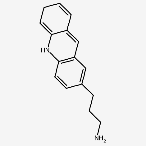 NCCCc1ccc2c(c1)C=C1C=CCC=C1N2